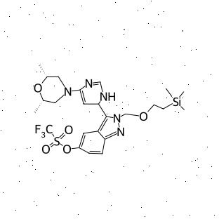 C[C@@H]1CN(C2=CC(c3c4cc(OS(=O)(=O)C(F)(F)F)ccc4nn3COCC[Si](C)(C)C)NC=N2)C[C@H](C)O1